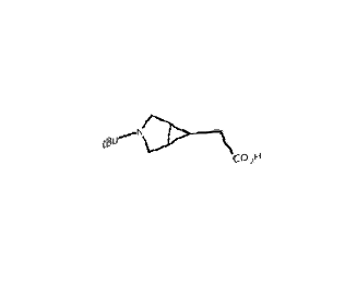 CC(C)(C)N1CC2C(CC(=O)O)C2C1